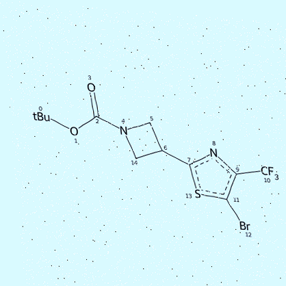 CC(C)(C)OC(=O)N1CC(c2nc(C(F)(F)F)c(Br)s2)C1